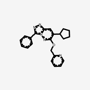 c1ccc(-c2nnc3cc(C4CCCC4)c(OCc4ccccn4)nn23)cc1